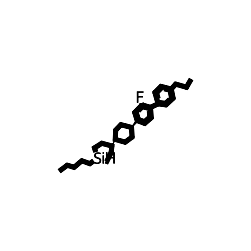 CCCCC[SiH]1CCC([C@H]2CC[C@H](c3ccc(-c4ccc(CCC)cc4)c(F)c3)CC2)CC1